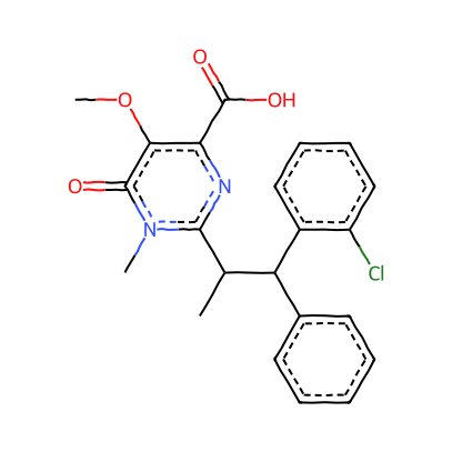 COc1c(C(=O)O)nc(C(C)C(c2ccccc2)c2ccccc2Cl)n(C)c1=O